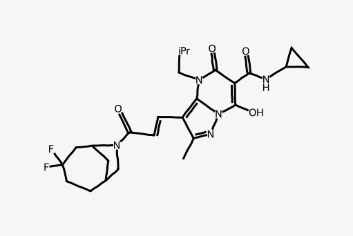 Cc1nn2c(O)c(C(=O)NC3CC3)c(=O)n(CC(C)C)c2c1/C=C/C(=O)N1CC2CCC(F)(F)CC1C2